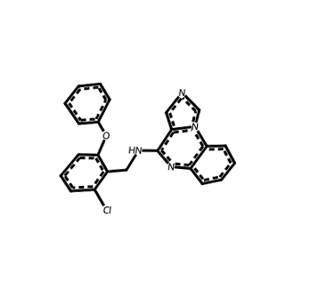 Clc1cccc(Oc2ccccc2)c1CNc1nc2ccccc2n2cncc12